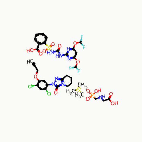 C#CCOc1cc(-n2nc3n(c2=O)CCCC3)c(Cl)cc1Cl.C[S+](C)C.O=C(Nc1nc(OC(F)F)cc(OC(F)F)n1)NS(=O)(=O)c1ccccc1C(=O)O.O=C(O)CNCP(=O)([O-])O